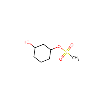 CS(=O)(=O)OC1CCCC(O)C1